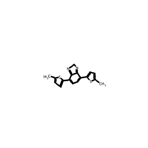 Cc1ccc(-c2ccc(-c3ccc(C)s3)c3c2=NCN=3)s1